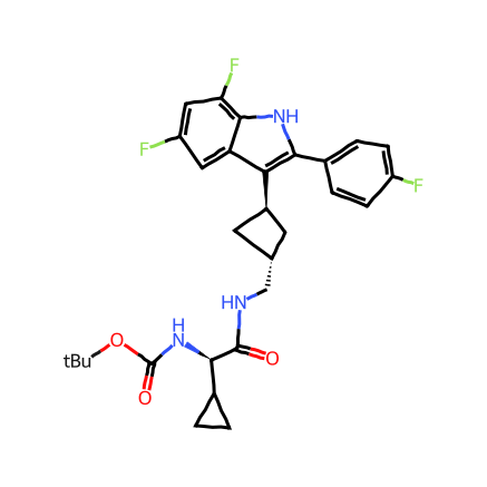 CC(C)(C)OC(=O)N[C@@H](C(=O)NC[C@H]1C[C@H](c2c(-c3ccc(F)cc3)[nH]c3c(F)cc(F)cc32)C1)C1CC1